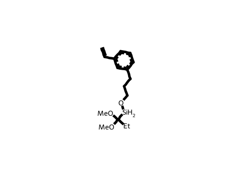 C=Cc1cccc(CCCO[SiH2]C(CC)(OC)OC)c1